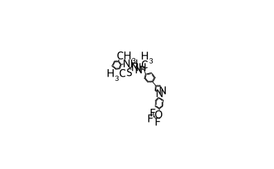 C/C(=N\NC(=S)Nc1c(C)cccc1C)c1ccc(-c2cnn(-c3ccc(OC(F)(F)F)cc3)c2)cc1